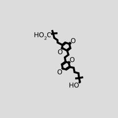 CC(C)(CO)CCCC1=CC(=O)C=C(CCC2=CC(=O)C=C(CCCC(C)(C)C(=O)O)C2=O)C1=O